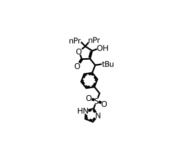 CCCC1(CCC)OC(=O)C(C(c2cccc(CS(=O)(=O)c3ncc[nH]3)c2)C(C)(C)C)=C1O